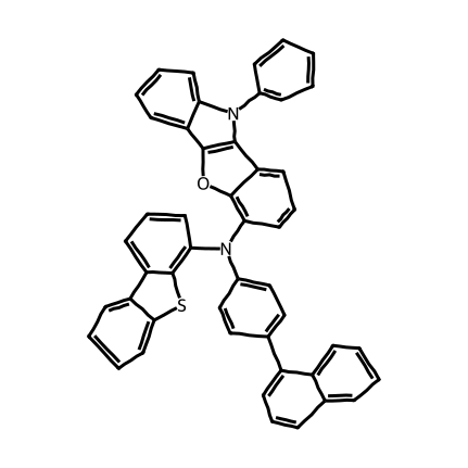 c1ccc(-n2c3ccccc3c3oc4c(N(c5ccc(-c6cccc7ccccc67)cc5)c5cccc6c5sc5ccccc56)cccc4c32)cc1